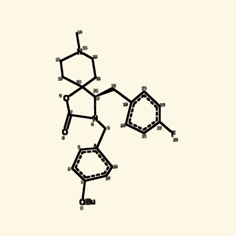 CC(C)COc1ccc(CN2C(=O)OC3(CCN(C)CC3)[C@H]2Cc2ccc(F)cc2)cc1